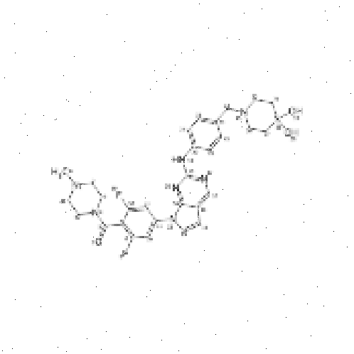 CN1CCN(C(=O)c2c(F)cc(-n3ccc4cnc(Nc5ccc(CN6CCS(O)(O)CC6)cc5)nc43)cc2F)CC1